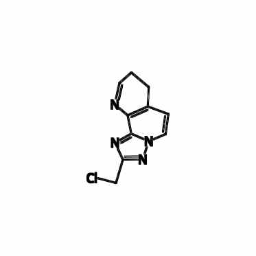 ClCc1nc2c3c(ccn2n1)CCC=N3